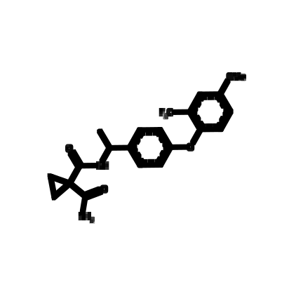 COc1ccc(Oc2ccc(C(C)NC(=O)C3(C(N)=O)CC3)cc2)c(C(F)(F)F)c1